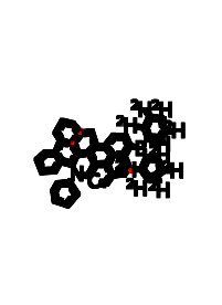 [2H]c1c([2H])c([2H])c(B(c2c([2H])c([2H])c([2H])c([2H])c2[2H])c2ccc3c4ccccc4c4c(N(c5ccccc5)c5cc6ccccc6c6ccccc56)ccc5ccc2c3c54)c([2H])c1[2H]